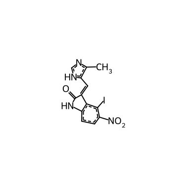 Cc1nc[nH]c1/C=C1\C(=O)Nc2ccc([N+](=O)[O-])c(I)c21